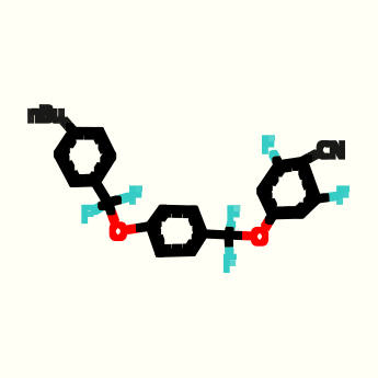 CCCCc1ccc(C(F)(F)Oc2ccc(C(F)(F)Oc3cc(F)c(C#N)c(F)c3)cc2)cc1